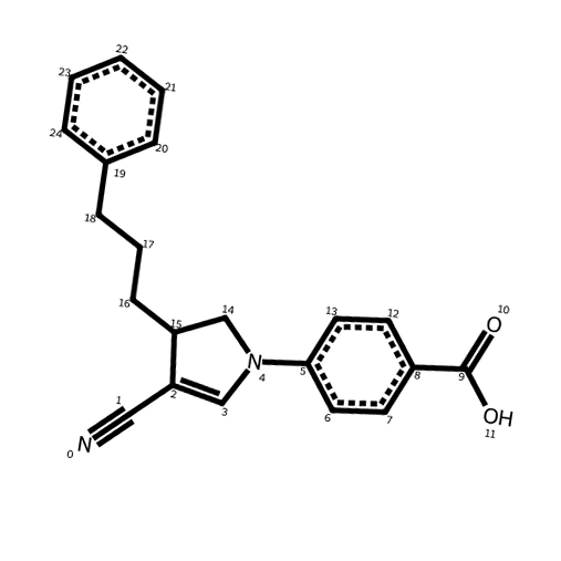 N#CC1=CN(c2ccc(C(=O)O)cc2)CC1CCCc1ccccc1